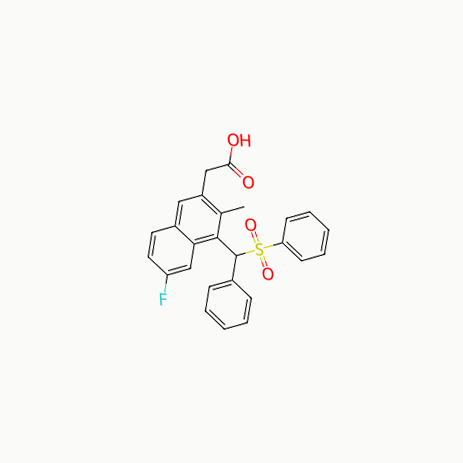 Cc1c(CC(=O)O)cc2ccc(F)cc2c1C(c1ccccc1)S(=O)(=O)c1ccccc1